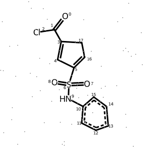 O=C(Cl)C1=CC(S(=O)(=O)Nc2ccccc2)=CC1